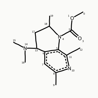 COC(=O)N1c2c(cc(C)nc2C)C(N(C)C)CC1C